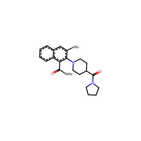 CCCCc1cc2ccccc2c(C(=O)NC)c1N1CCC(C(=O)N2CCCC2)CC1